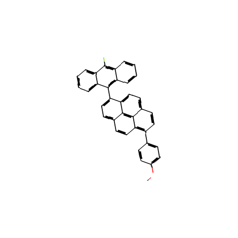 Fc1c2ccccc2c(-c2ccc3ccc4c(-c5ccc(OC(F)(F)F)cc5)ccc5ccc2c3c54)c2ccccc12